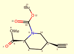 C#C[C@H]1CC[C@@H](C(=O)OC)N(C(=O)OC(C)(C)C)C1